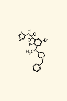 CN(c1cc(Br)cc(S(=O)(=O)Nc2cscn2)c1F)C1CCN(Cc2ccccc2)C1